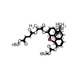 CCCCOC(=O)CCC(=O)O[C@@H](C)C(=O)OC1=CC[C@@]2(O)[C@H]3Cc4ccc(OC(=O)OC(C)(C)C)c5c4[C@@]2(CCN3C)[C@H]1O5